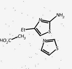 CC(=O)O.CCc1csc(N)n1.c1cscn1